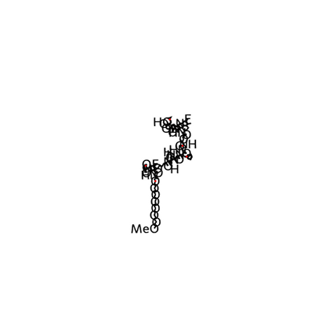 COCCOCCOCCOCCOCCOCCOCCOCCNC(=O)c1cc(N2C(=O)C=CC2=O)cc(F)c1OCCCC(=O)NCC(=O)NCC(=O)N[C@@H](Cc1ccccc1)C(=O)NCC(=O)NCOCC(=O)N[C@H]1CCc2c(C)c(F)cc3nc4c(c1c23)Cn1c-4cc2c(c1=O)COC(=O)[C@]2(O)CC1CC1